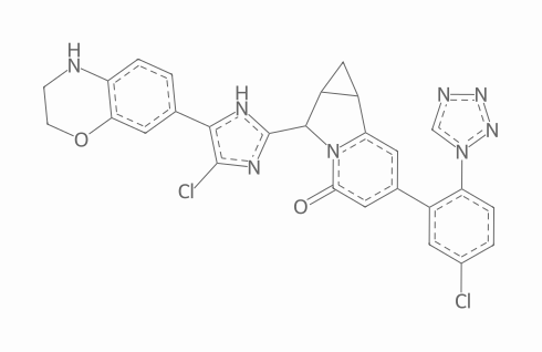 O=c1cc(-c2cc(Cl)ccc2-n2cnnn2)cc2n1C(c1nc(Cl)c(-c3ccc4c(c3)OCCN4)[nH]1)C1CC21